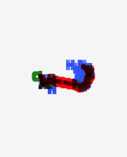 CC(=O)N1c2ccc(-c3ccc(C(=O)NCCOCCOCCOCCOCCOCCOCCOCCOCCNC(=O)c4cc(NC(=O)c5nc(NC(=O)CCNC(=O)c6cc(NC(=O)c7nc(NCCCN)cn7C)cn6C)cn5C)cn4C)cc3)cc2[C@H](Nc2ccc(Cl)cc2)C[C@@H]1C